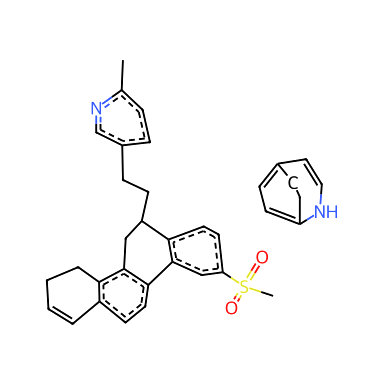 C1=CC2=CC=C(CC2)N1.Cc1ccc(CCC2Cc3c(ccc4c3CCC=C4)-c3cc(S(C)(=O)=O)ccc32)cn1